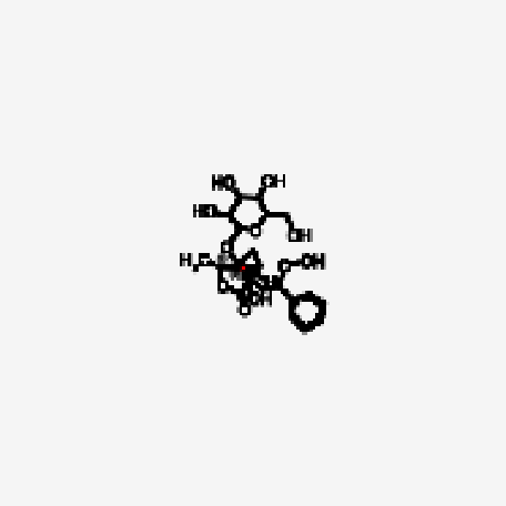 C[C@]12C[C@@H](O)C3C[C@]1(OC1OC(CO)C(O)C(O)C1O)[C@@]3(CC(OO)c1ccccc1)C(=O)O2